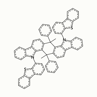 CC1(c2ccccc2)c2ccc3c4ccccc4n(-c4cccc5c4sc4ccccc45)c3c2C(C)(c2ccccc2)c2ccc3c4ccccc4n(-c4cccc5c4sc4ccccc45)c3c21